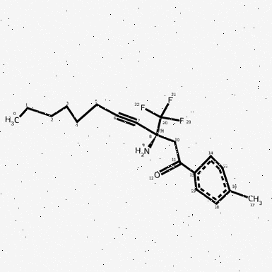 CCCCCCC#C[C@@](N)(CC(=O)c1ccc(C)cc1)C(F)(F)F